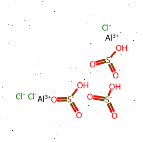 O=[S-](=O)O.O=[S-](=O)O.O=[S-](=O)O.[Al+3].[Al+3].[Cl-].[Cl-].[Cl-]